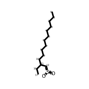 CCCCCCCCCCCC(C=S(=O)=O)CC